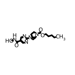 CCCCCOC(=O)N1CC2CC1CN2c1ncc(C(=O)NO)cn1